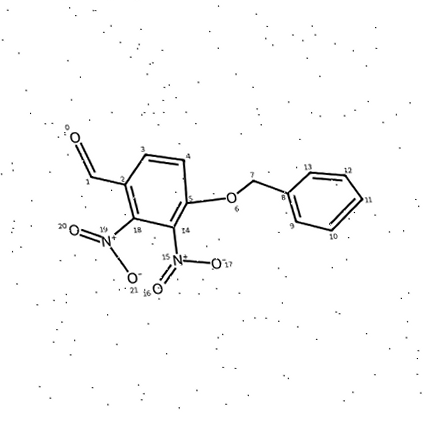 O=Cc1ccc(OCc2ccccc2)c([N+](=O)[O-])c1[N+](=O)[O-]